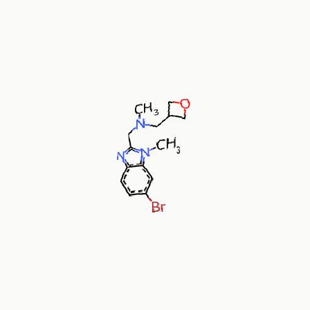 CN(Cc1nc2ccc(Br)cc2n1C)CC1COC1